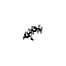 CCSc1cc(I)cnc1-c1nc2cc(C(F)C(F)(F)F)cnc2n1C